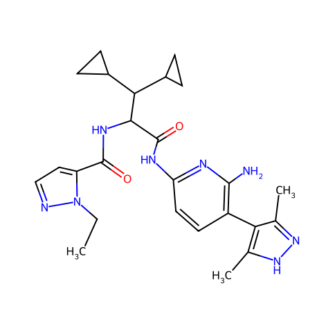 CCn1nccc1C(=O)NC(C(=O)Nc1ccc(-c2c(C)n[nH]c2C)c(N)n1)C(C1CC1)C1CC1